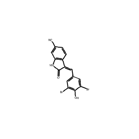 N#Cc1ccc2c(c1)NC(=O)/C2=C\c1cc(Br)c(O)c(Br)c1